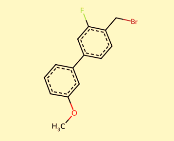 COc1cccc(-c2ccc(CBr)c(F)c2)c1